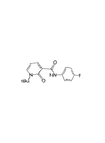 CC(C)(C)n1cccc(C(=O)Nc2ccc(F)cc2)c1=O